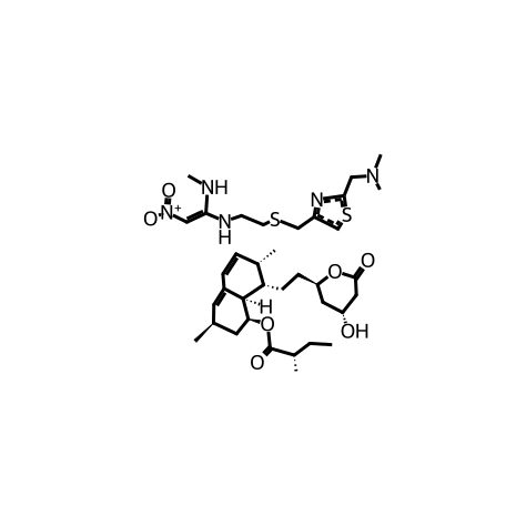 CC[C@H](C)C(=O)O[C@H]1C[C@@H](C)C=C2C=C[C@H](C)[C@H](CC[C@@H]3C[C@@H](O)CC(=O)O3)[C@H]21.CN/C(=C\[N+](=O)[O-])NCCSCc1csc(CN(C)C)n1